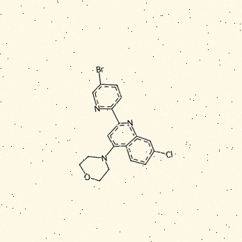 Clc1ccc2c(N3CCOCC3)cc(-c3ccc(Br)cn3)nc2c1